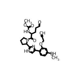 C#CCOc1cc(BC)ccc1-c1c[nH]c(C2CCCN2C(=O)C(CCC=O)NC(=O)OC)n1